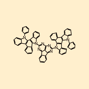 c1ccc(-n2c3ccccc3c3c4ccccc4c4c(c5ccccc5n4-c4nc5c6c(nc(-n7c8ccccc8c8c7c7ccccc7c7c9ccccc9n(-c9ccccc9)c78)nc6n4)-c4ccccc4-5)c32)cc1